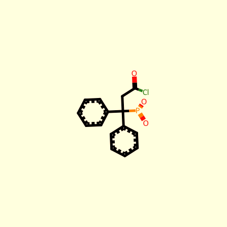 O=C(Cl)CC(c1ccccc1)(c1ccccc1)P(=O)=O